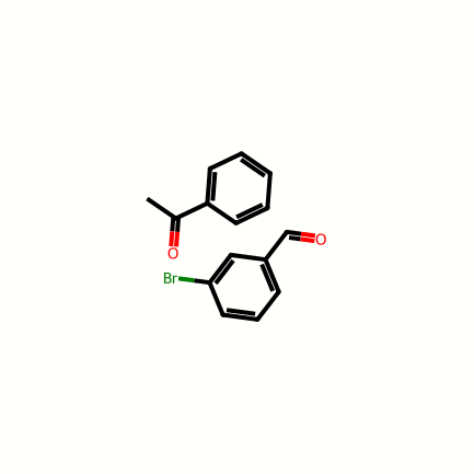 CC(=O)c1ccccc1.O=Cc1cccc(Br)c1